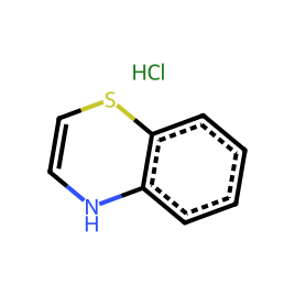 C1=CSc2ccccc2N1.Cl